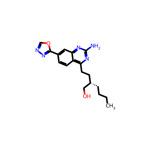 CCCC[C@H](CO)CCc1nc(N)nc2cc(-c3nnco3)ccc12